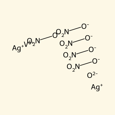 O=[N+]([O-])[O-].O=[N+]([O-])[O-].O=[N+]([O-])[O-].O=[N+]([O-])[O-].O=[N+]([O-])[O-].[Ag+].[Ag+].[O-2].[V+5]